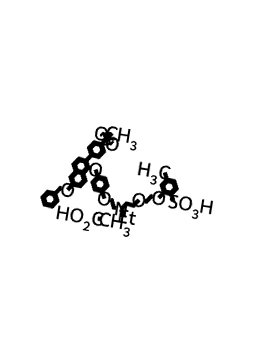 CC(=O)O.CCN(CCOCCOc1cc(C)ccc1S(=O)(=O)O)CCOc1ccc(Oc2c(-c3ccc(S(C)(=O)=O)cc3)ccc3cc(OCc4ccccc4)ccc23)cc1